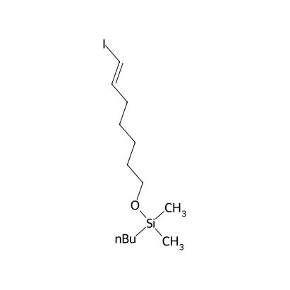 CCCC[Si](C)(C)OCCCCCC=CI